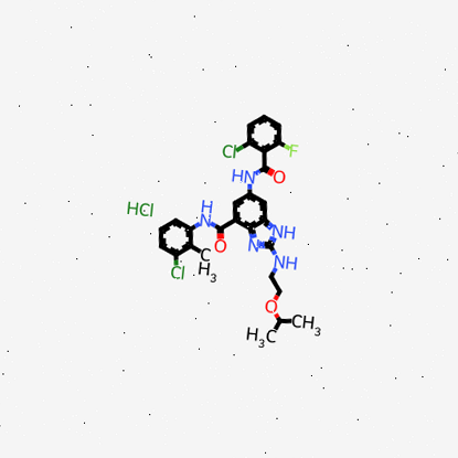 Cc1c(Cl)cccc1NC(=O)c1cc(NC(=O)c2c(F)cccc2Cl)cc2[nH]c(NCCOC(C)C)nc12.Cl